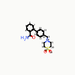 NC(=O)c1ccccc1-c1ccc(CN2CCS(=O)(=O)CC2)cc1